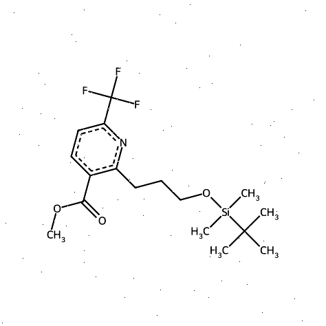 COC(=O)c1ccc(C(F)(F)F)nc1CCCO[Si](C)(C)C(C)(C)C